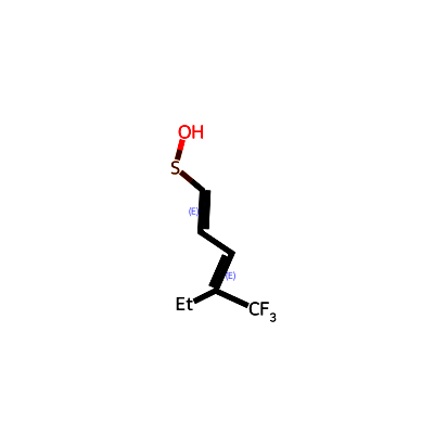 CC/C(=C\C=C\SO)C(F)(F)F